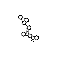 CC1(C)c2ccccc2-c2cc3c(cc21)c1ccccc1n3-c1cccc(-c2ccc3c4c(cccc24)-c2ccccc2-3)c1